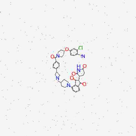 N#Cc1ccc(OC2CCN(C(=O)c3ccc(C4CN(CC5CCN(c6cccc7c6C(=O)C(C6CCC(=O)NC6=O)C7=O)CC5)C4)cc3)CC2)cc1Cl